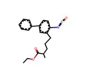 CCOC(=O)C(C)CCCc1cc(-c2ccccc2)ccc1N=C=O